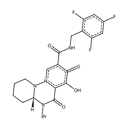 CC(C)N1C(=O)c2c(O)c(=O)c(C(=O)NCc3c(F)cc(F)cc3F)cn2N2CCCC[C@@H]12